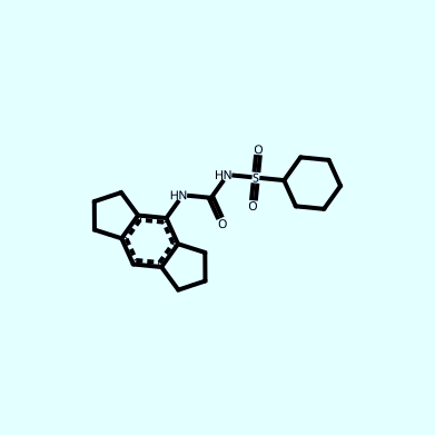 O=C(Nc1c2c(cc3c1CCC3)CCC2)NS(=O)(=O)C1CCCCC1